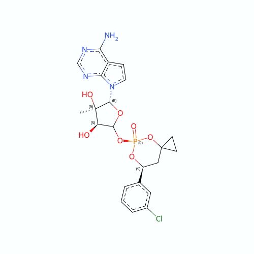 C[C@@]1(O)[C@H](O)C(O[P@]2(=O)O[C@H](c3cccc(Cl)c3)CC3(CC3)O2)O[C@H]1n1ccc2c(N)ncnc21